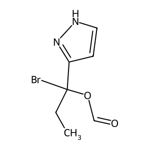 CCC(Br)(OC=O)c1cc[nH]n1